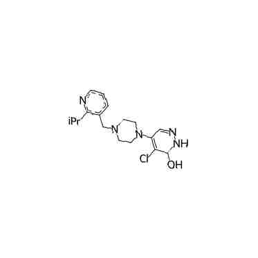 CC(C)c1ncccc1CN1CCN(C2=C(Cl)C(O)NN=C2)CC1